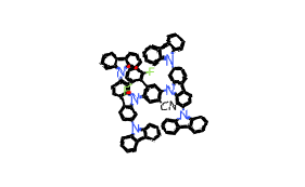 N#Cc1cc(-n2c3cc(-n4c5ccccc5c5ccccc54)ccc3c3ccc(-n4c5ccccc5c5ccccc54)cc32)c(-c2c(F)cccc2F)cc1-n1c2cc(-n3c4ccccc4c4ccccc43)ccc2c2ccc(-n3c4ccccc4c4ccccc43)cc21